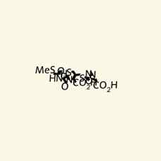 CSCC(=O)NC1C(=O)N2C(C(=O)O)=C(CSc3nnc(CC(=O)O)o3)CS[C@@H]12